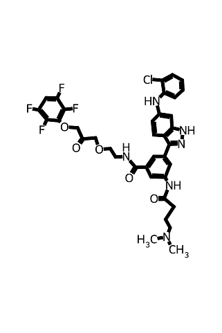 CN(C)CCCC(=O)Nc1cc(C(=O)NCCOCC(=O)COc2c(F)c(F)cc(F)c2F)cc(-c2n[nH]c3cc(Nc4ccccc4Cl)ccc23)c1